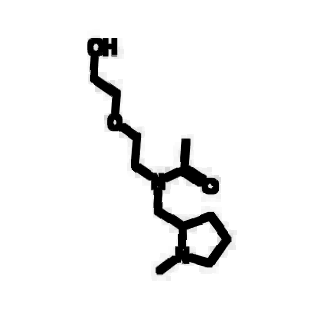 CC(=O)N(CCOCCO)CC1CCCN1C